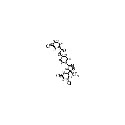 O=C(Oc1ccc(C2=NOC(c3cc(Cl)cc(Cl)c3)(C(F)(F)F)C2)cc1)c1cccc(Cl)c1